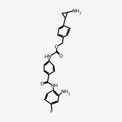 Nc1cc(F)ccc1NC(=O)c1ccc(NC(=O)OCc2ccc(C3CC3N)cc2)cc1